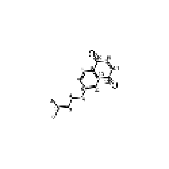 CC(C)=CCCc1ccc2c(c1)C(=O)C=CC2=O